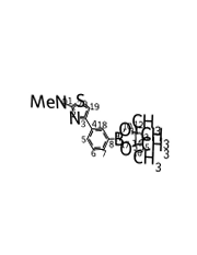 CNc1nc(-c2cccc(B3OC(C)(C)C(C)(C)O3)c2)cs1